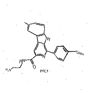 COc1ccc(-c2nc(C(=O)NCCN)cc3c2[nH]c2ccc(C)cc23)cc1.Cl